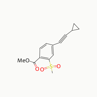 COC(=O)c1ccc(C#CC2CC2)cc1S(C)(=O)=O